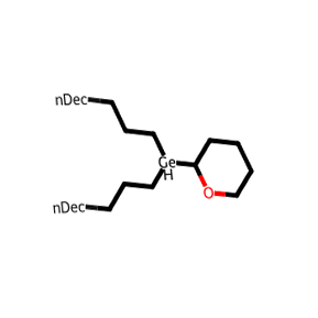 CCCCCCCCCCCC[CH2][GeH]([CH2]CCCCCCCCCCCC)[CH]1CCCCO1